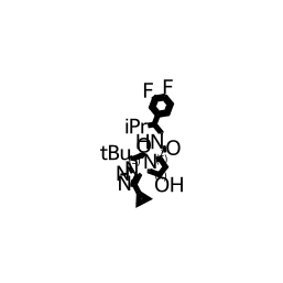 CC(C)C(CNC(=O)[C@@H]1C[C@@H](O)CN1C(=O)[C@@H](n1cc(C2CC2)nn1)C(C)(C)C)c1ccc(F)c(F)c1